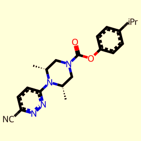 CC(C)c1ccc(OC(=O)N2C[C@@H](C)N(c3ccc(C#N)nn3)[C@@H](C)C2)cc1